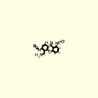 NCc1c(N=C=O)cccc1Oc1cccc(N=C=O)c1CN